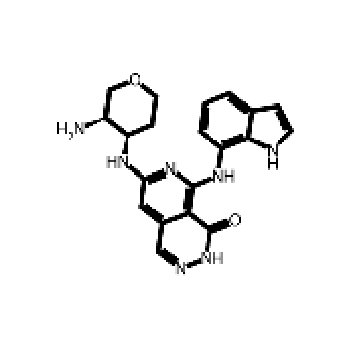 N[C@H]1COCC[C@H]1Nc1cc2cn[nH]c(=O)c2c(Nc2cccc3cc[nH]c23)n1